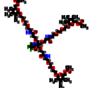 CC(=O)OCC1OC(OCCOCCOCCNC(=O)CCOCC(COCCC(=O)NCCOCCOCCOC2OC(COC(C)=O)C(C)C(C)C2C)(COCCC(=O)NCCOCCOCCOC2OC(COC(C)=O)C(C)C(C)C2C)NC(=O)C(F)(F)F)C(C)C(C)C1C